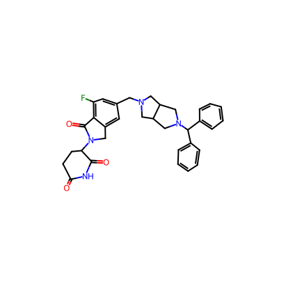 O=C1CCC(N2Cc3cc(CN4CC5CN(C(c6ccccc6)c6ccccc6)CC5C4)cc(F)c3C2=O)C(=O)N1